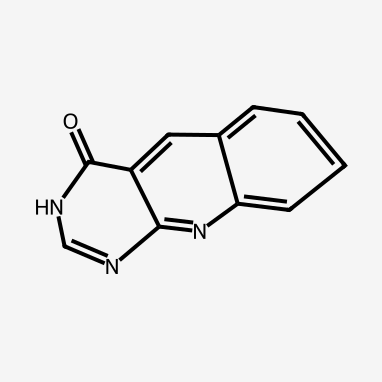 O=c1[nH]cnc2nc3ccccc3cc12